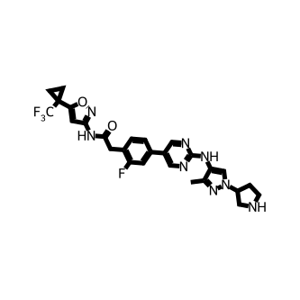 Cc1nn(C2CCNC2)cc1Nc1ncc(-c2ccc(CC(=O)Nc3cc(C4(C(F)(F)F)CC4)on3)c(F)c2)cn1